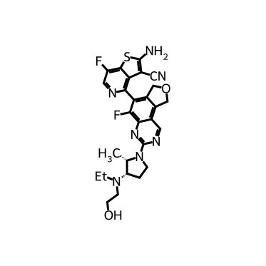 CCN(CCO)[C@H]1CCN(c2ncc3c4c(c(-c5ncc(F)c6sc(N)c(C#N)c56)c(F)c3n2)COC4)[C@H]1C